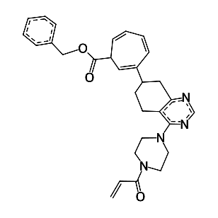 C=CC(=O)N1CCN(c2ncnc3c2CCC(C2=CC(C(=O)OCc4ccccc4)C=CC=C2)C3)CC1